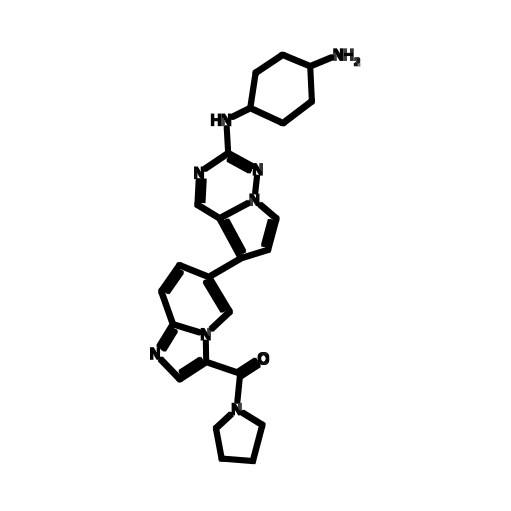 NC1CCC(Nc2ncc3c(-c4ccc5ncc(C(=O)N6CCCC6)n5c4)ccn3n2)CC1